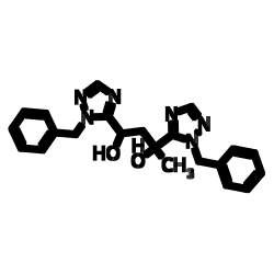 CC(O)(CC(O)c1ncnn1Cc1ccccc1)c1ncnn1Cc1ccccc1